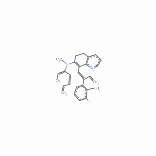 C=C/C=C\C(=C/C)N(C)C1=C(/C=C(\C=C)c2cccc(F)c2C)c2ncccc2CC1